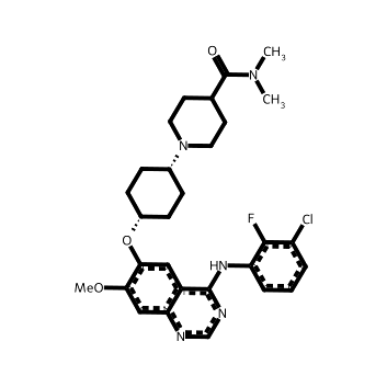 COc1cc2ncnc(Nc3cccc(Cl)c3F)c2cc1O[C@H]1CC[C@@H](N2CCC(C(=O)N(C)C)CC2)CC1